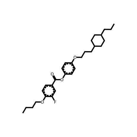 CCCCOc1ccc(C(=O)Oc2ccc(OCCCC3CCC(CCC)CC3)cc2)cc1F